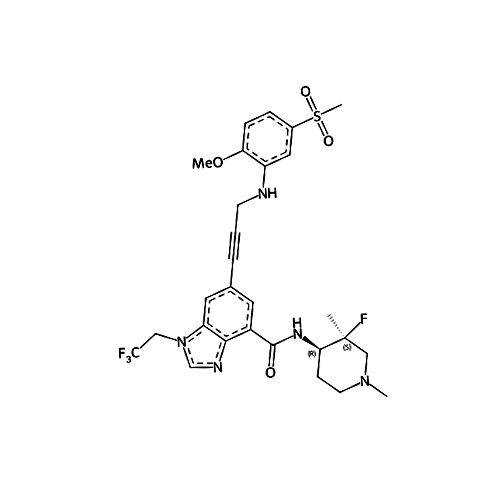 COc1ccc(S(C)(=O)=O)cc1NCC#Cc1cc(C(=O)N[C@@H]2CCN(C)C[C@]2(C)F)c2ncn(CC(F)(F)F)c2c1